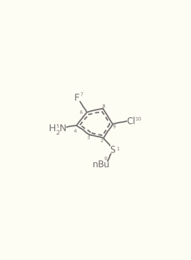 CCCCSc1cc(N)c(F)cc1Cl